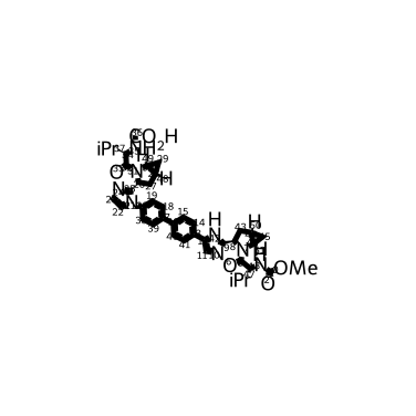 COC(=O)N[C@H](C(=O)N1[C@@H](c2ncc(-c3ccc(-c4ccc(-n5ccnc5[C@H]5C[C@H]6C[C@H]6N5C(=O)[C@@H](NC(=O)O)C(C)C)cc4)cc3)[nH]2)C[C@H]2C[C@H]21)C(C)C